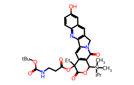 CCC1(OC(=O)CCNC(=O)OC(C)(C)C)C(=O)OC([Si](C)(C)C(C)C)c2c1cc1n(c2=O)Cc2cc3cc(O)ccc3nc2-1